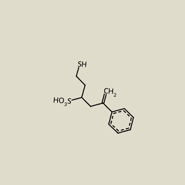 C=C(CC(CCS)S(=O)(=O)O)c1ccccc1